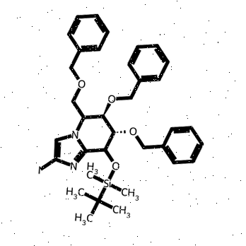 CC(C)(C)[Si](C)(C)OC1c2nc(I)cn2C(COCc2ccccc2)[C@@H](OCc2ccccc2)[C@@H]1OCc1ccccc1